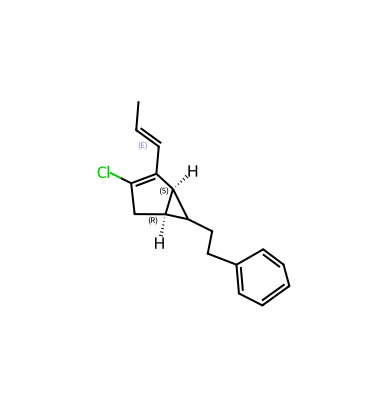 C/C=C/C1=C(Cl)C[C@@H]2C(CCc3ccccc3)[C@H]12